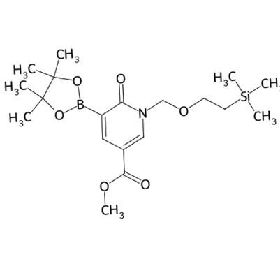 COC(=O)c1cc(B2OC(C)(C)C(C)(C)O2)c(=O)n(COCC[Si](C)(C)C)c1